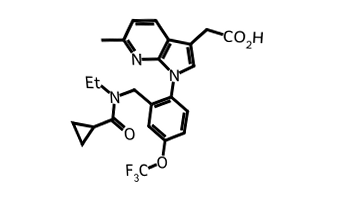 CCN(Cc1cc(OC(F)(F)F)ccc1-n1cc(CC(=O)O)c2ccc(C)nc21)C(=O)C1CC1